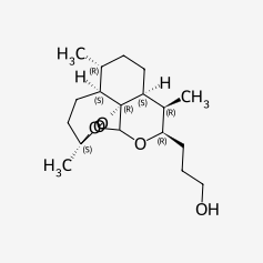 C[C@H]1[C@@H](CCCO)OC2O[C@]3(C)CC[C@H]4[C@H](C)CC[C@@H]1[C@@]24OO3